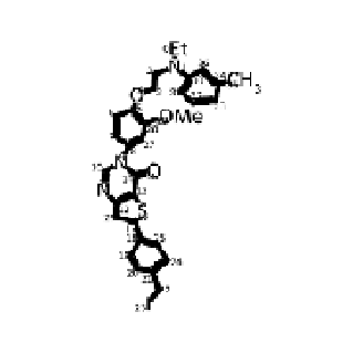 CCN(CCOc1ccc(-n2cnc3c(c2=O)SC(c2ccc(CI)cc2)C3)cc1OC)c1cccc(C)c1